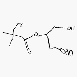 CCC(C)(C)C(=O)OC(CO)CC=O